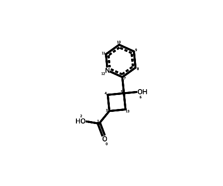 O=C(O)C1CC(O)(c2ccccn2)C1